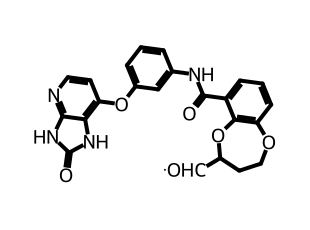 O=[C]C1CCOc2cccc(C(=O)Nc3cccc(Oc4ccnc5[nH]c(=O)[nH]c45)c3)c2O1